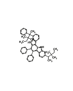 CCC(C)(C)C(C)c1ccc2c(c1)[nH]c1c2c(-c2ccccc2)c(-c2ccccc2)c2[nH]c3c(C(C)(c4ccccc4)C(C)(C)CC)cccc3c21